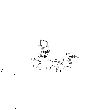 CC(C)OC(=O)[C@H](C)NP(=O)(OCC1OC(N2C=CCC(C(N)=O)=C2)C(O)C1O)Oc1ccccc1